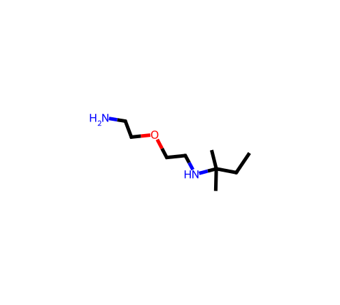 CCC(C)(C)NCCOCCN